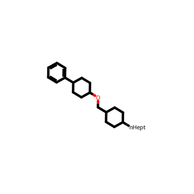 CCCCCCCC1CCC(COC2CCC(c3ccccc3)CC2)CC1